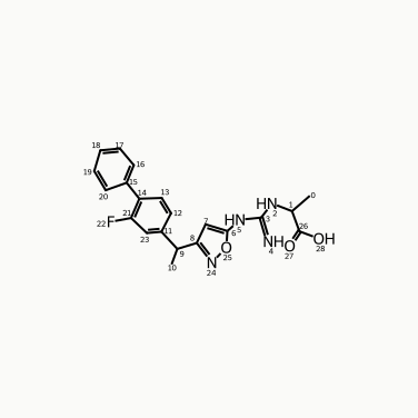 CC(NC(=N)Nc1cc(C(C)c2ccc(-c3ccccc3)c(F)c2)no1)C(=O)O